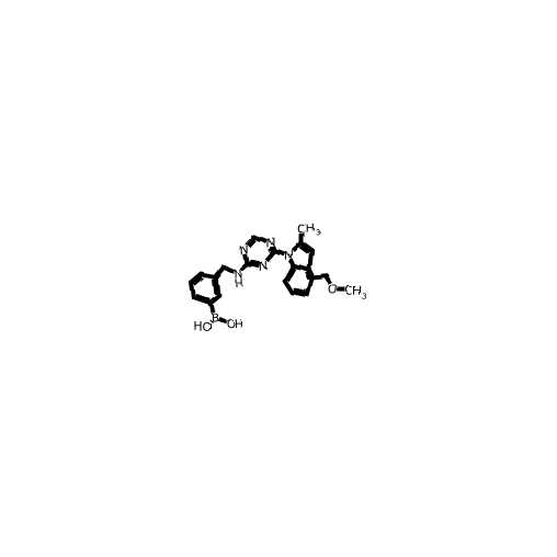 COCc1cccc2c1cc(C)n2-c1ncnc(NCc2cccc(B(O)O)c2)n1